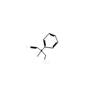 CC(C=O)(CO)c1ccccc1